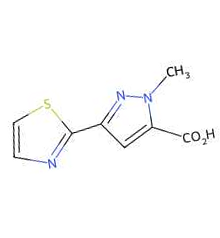 Cn1nc(-c2nccs2)cc1C(=O)O